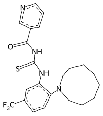 O=C(NC(=S)Nc1cc(C(F)(F)F)ccc1N1CCCCCCCC1)c1cccnc1